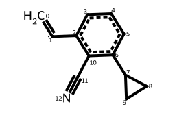 C=[C]c1cccc(C2CC2)c1C#N